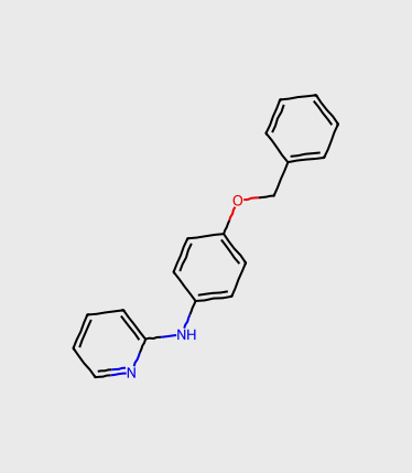 c1ccc(COc2ccc(Nc3ccccn3)cc2)cc1